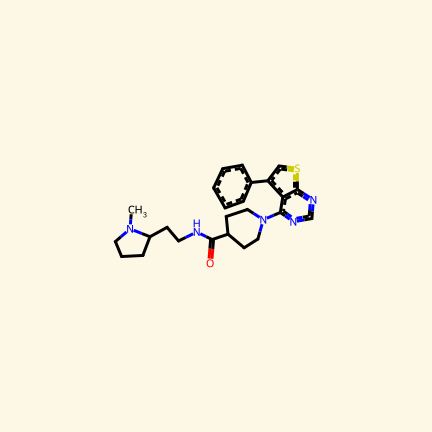 CN1CCCC1CCNC(=O)C1CCN(c2ncnc3scc(-c4ccccc4)c23)CC1